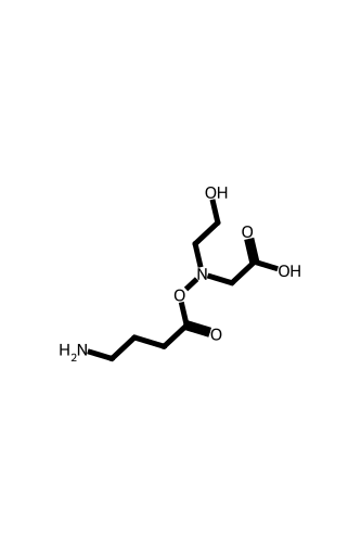 NCCCC(=O)ON(CCO)CC(=O)O